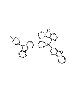 Cc1ccc(-n2c3ccccc3c3cc(-c4ccc(N(c5ccc6c(c5)oc5ccccc56)c5cccc6oc7ccccc7c56)cc4)ccc32)cc1